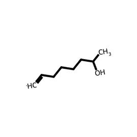 [CH]=CCCCCC(C)O